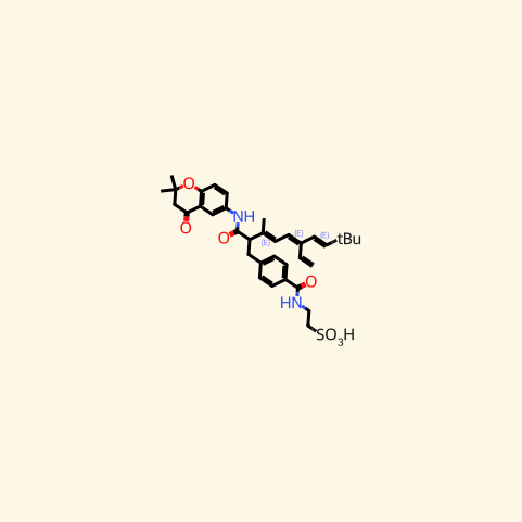 C=CC(/C=C/C(C)(C)C)=C\C=C(/C)C(Cc1ccc(C(=O)NCCS(=O)(=O)O)cc1)C(=O)Nc1ccc2c(c1)C(=O)CC(C)(C)O2